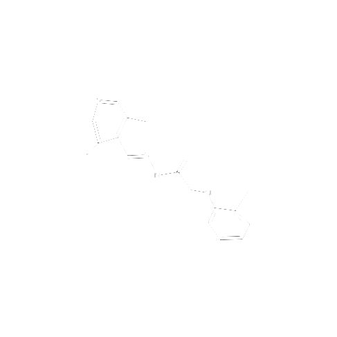 CCc1ccccc1NCC(=O)N/N=C/c1c(Cl)cncc1Cl